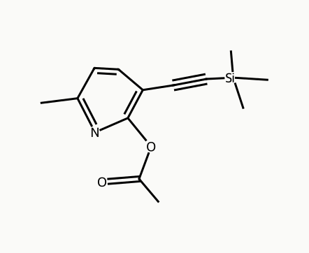 CC(=O)Oc1nc(C)ccc1C#C[Si](C)(C)C